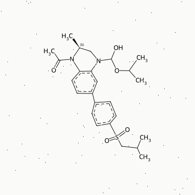 CC(=O)N1c2ccc(-c3ccc(S(=O)(=O)CC(C)C)cc3)cc2N(C(O)OC(C)C)C[C@@H]1C